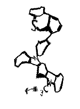 Cn1c2ccccc2c2cc3c(cc21)c1ccccc1n3-c1ccc(-c2cccc3c2sc2ccccc23)cc1